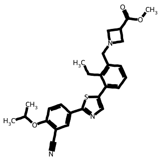 CCc1c(CN2CC(C(=O)OC)C2)cccc1-c1cnc(-c2ccc(OC(C)C)c(C#N)c2)s1